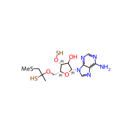 CSCC(C)(S)OC[C@H]1O[C@@H](n2cnc3c(N)ncnc32)C(O)[C@H]1OS